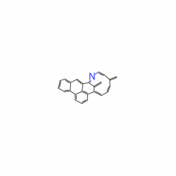 C=c1cccc2c(=C)c(ncc1)c1cc3ccccc3c3cccc2c13